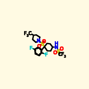 O=S(=O)(NC1CCC(c2cc(F)ccc2F)(S(=O)(=O)N2CCC(C(F)(F)F)CC2)CC1)C(F)(F)F